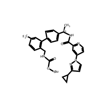 C[C@@H](NC(=O)c1cc(-n2ccc(C3CC3)n2)ccn1)c1ccc(-c2cc(C(F)(F)F)ccc2CNC(=O)OC(C)(C)C)cc1